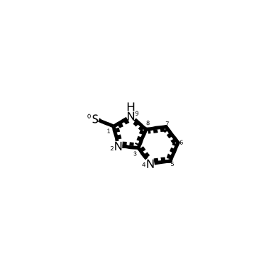 [S]c1nc2ncccc2[nH]1